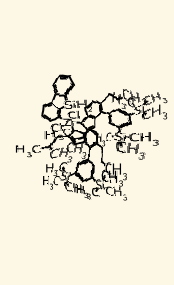 CCCc1ccc2c(c1-c1cc([Si](C)(C)C)cc([Si](C)(C)C)c1)C=C(CC(C)C)[CH]2[Zr]([Cl])([Cl])([c]1cccc2c1[SiH2]c1ccccc1-2)[CH]1C(CC(C)C)=Cc2c1ccc(CCC)c2-c1cc([Si](C)(C)C)cc([Si](C)(C)C)c1